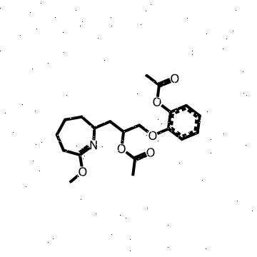 COC1=NC(CC(COc2ccccc2OC(C)=O)OC(C)=O)CCCC1